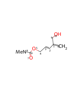 C=C(C=CCOC(=O)NC)CO